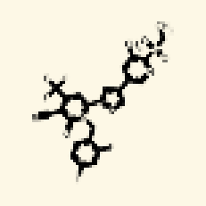 CCS(=O)(=O)c1ncc(-c2csc(-c3cc(C(F)(F)F)c(C#N)c(=O)n3Cc3ccc(F)cc3F)c2)cc1C